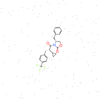 O=C1OC[C@H](Cc2ccccc2)N1C(=O)[C@@H](Cc1ccc(C(F)(F)F)cc1)C1CC1